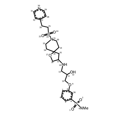 CNS(=O)(=O)c1cccc(OCC(O)CNC2COC3(CCN(S(=O)(=O)CCc4ccncc4)CC3)C2)c1